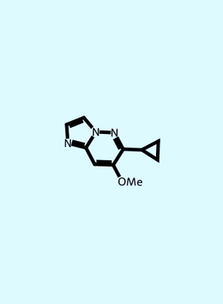 COc1cc2nccn2nc1C1CC1